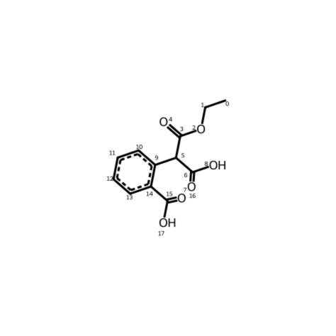 CCOC(=O)C(C(=O)O)c1ccccc1C(=O)O